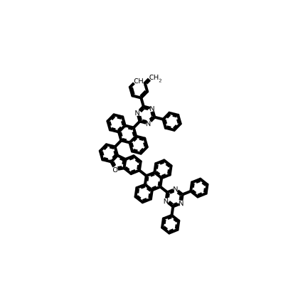 C=C/C=C(\C=C/C)c1nc(-c2ccccc2)nc(-c2c3ccccc3c(-c3cccc4oc5cc(-c6c7ccccc7c(-c7nc(-c8ccccc8)nc(-c8ccccc8)n7)c7ccccc67)ccc5c34)c3ccccc23)n1